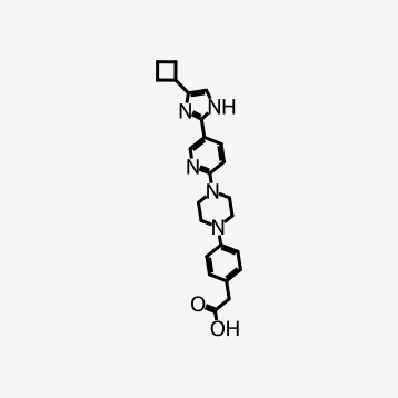 O=C(O)Cc1ccc(N2CCN(c3ccc(-c4nc(C5CCC5)c[nH]4)cn3)CC2)cc1